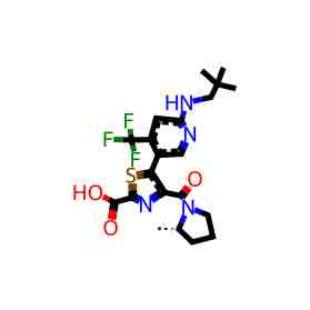 C[C@H]1CCCN1C(=O)c1nc(C(=O)O)sc1-c1cnc(NCC(C)(C)C)cc1C(F)(F)F